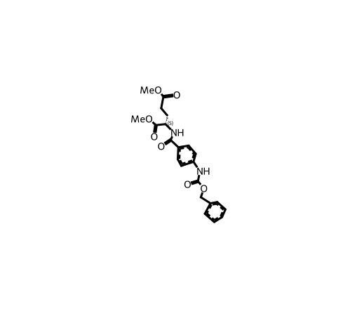 COC(=O)CC[C@H](NC(=O)c1ccc(NC(=O)OCc2ccccc2)cc1)C(=O)OC